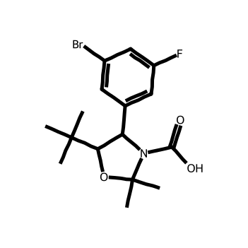 CC(C)(C)C1OC(C)(C)N(C(=O)O)C1c1cc(F)cc(Br)c1